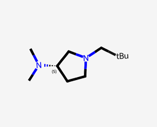 CN(C)[C@H]1CCN(CC(C)(C)C)C1